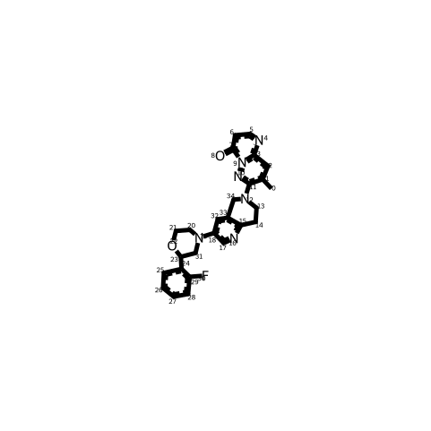 Cc1cc2nccc(=O)n2nc1N1CCc2ncc(N3CCOC(c4ccccc4F)C3)cc2C1